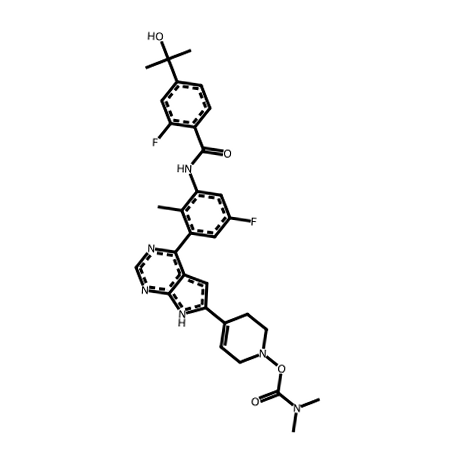 Cc1c(NC(=O)c2ccc(C(C)(C)O)cc2F)cc(F)cc1-c1ncnc2[nH]c(C3=CCN(OC(=O)N(C)C)CC3)cc12